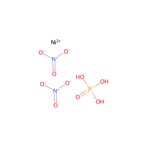 O=P(O)(O)O.O=[N+]([O-])[O-].O=[N+]([O-])[O-].[Ni+2]